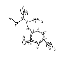 COC(O)C(P)Cn1cnc(N)nc1=O